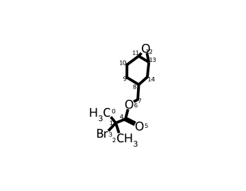 CC(C)(Br)C(=O)OCC1CCC2OC2C1